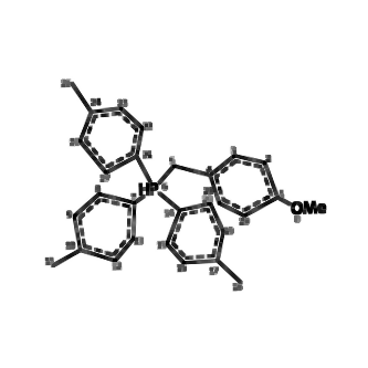 COc1ccc(C[PH](c2ccc(C)cc2)(c2ccc(C)cc2)c2ccc(C)cc2)cc1